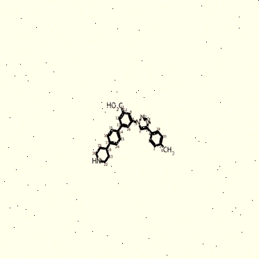 Cc1ccc(-c2cn(-c3cc(C(=O)O)cc(-c4ccc(C5CCNCC5)cc4)c3)nn2)cc1